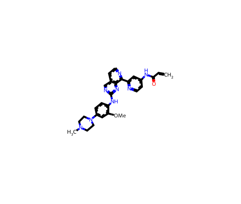 C=CC(=O)Nc1ccnc(-c2nccc3cnc(Nc4ccc(N5CCN(C)CC5)cc4OC)nc23)c1